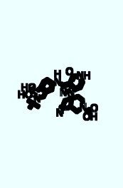 CC(C)(C)N1Cc2cc(Nc3nn(C4(CC#N)CCN(C(=O)O)CC4F)c4cc[nH]c(=O)c34)ccc2S1(O)O